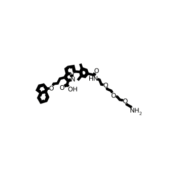 Cc1cc(C(=O)NCCOCCOCCOCCN)cc(C)c1-c1cccc2c(CCCOc3cccc4ccccc34)c(C(=O)O)nn12